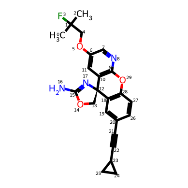 CC(C)(F)COc1cnc2c(c1)[C@]1(COC(N)=N1)c1cc(C#CC3CC3)ccc1O2